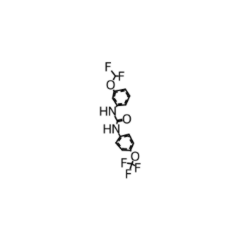 O=C(Nc1ccc(OC(F)(F)F)cc1)Nc1cccc(OC(F)F)c1